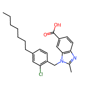 CCCCCCCc1ccc(Cn2c(C)nc3ccc(C(=O)O)cc32)c(Cl)c1